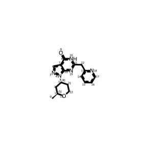 C[C@H]1C[C@H](n2ncc3c(=O)[nH]c(Cc4ccccn4)nc32)CCO1